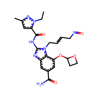 CCn1nc(C)cc1C(=O)Nc1nc2cc(C(N)=O)cc(OC3CCO3)c2n1C/C=C/CN=O